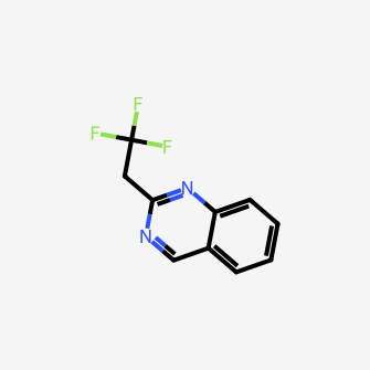 FC(F)(F)Cc1ncc2ccccc2n1